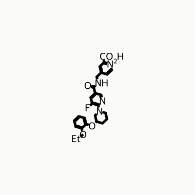 CCOc1ccccc1OC1CCCN(c2ncc(C(=O)NCc3ccnc(C(=O)O)c3)cc2F)C1